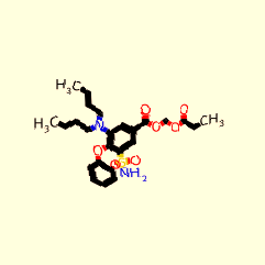 CCCCN(CCCC)c1cc(C(=O)OCOC(=O)CC)cc(S(N)(=O)=O)c1Oc1ccccc1